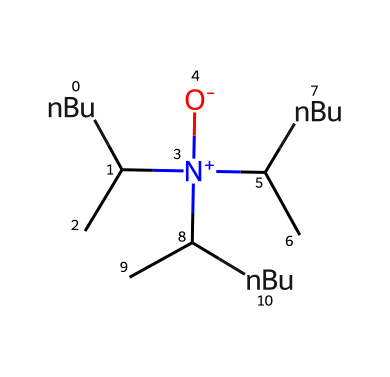 CCCCC(C)[N+]([O-])(C(C)CCCC)C(C)CCCC